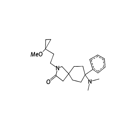 COC1(CCN2CC3(CCC(c4ccccc4)(N(C)C)CC3)CC2=O)CC1